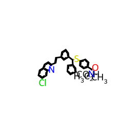 CN(C)C(=O)c1ccc(SC(c2cccc(/C=C/c3ccc4ccc(Cl)cc4n3)c2)c2cccc(C(=O)O)c2)cc1